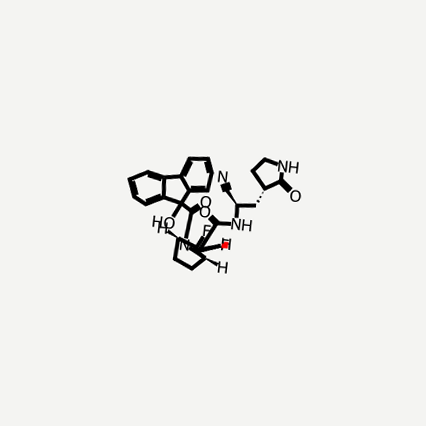 N#C[C@@H](C[C@@H]1CCNC1=O)NC(=O)[C@@H]1[C@@H]2CC[C@@H](CC2(F)F)N1C(=O)C1(O)c2ccccc2-c2ccccc21